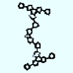 c1ccc(-c2ccc3c4ccc(-c5ccccc5)cc4c4nc(-c5cccc(-c6ccc7sc8ccc(-c9cccc(-c%10cnc%11c%12cc(-c%13ccccc%13)ccc%12c%12ccc(-c%13ccccc%13)cc%12c%11n%10)c9)cc8c7c6)c5)cnc4c3c2)cc1